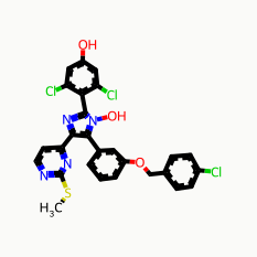 CSc1nccc(-c2nc(-c3c(Cl)cc(O)cc3Cl)n(O)c2-c2cccc(OCc3ccc(Cl)cc3)c2)n1